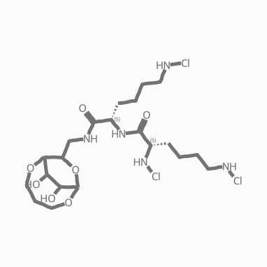 O=C(N[C@@H](CCCCNCl)C(=O)NCC1OC2OCCCOC1C(O)C2O)[C@H](CCCCNCl)NCl